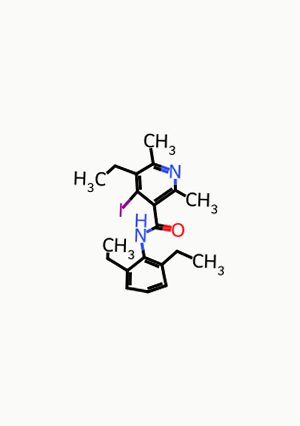 CCc1cccc(CC)c1NC(=O)c1c(C)nc(C)c(CC)c1I